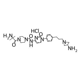 CC(C)(N)C(=O)N1CCN(C(=O)Nc2ccn(-c3ccc(CCCN4CC(N)C4)cc3)c(=O)n2)CC1.Cl